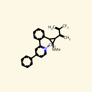 C=C(C(=C)C(F)(F)F)C1C(NC)C1c1ccccc1-c1cc(-c2ccccc2)cc[n+]1C